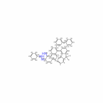 CC1(C)c2ccccc2-c2ccc(-c3ccccc3-c3cccc(-c4ccc5c6c(ccc5c4)C=C/C(=N/Nc4ccccc4)C6=N)c3)cc21